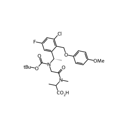 COc1ccc(OCc2c(Cl)cc(F)cc2[C@H](C)N(CC(=O)N(C)C(C)C(=O)O)C(=O)OC(C)(C)C)cc1